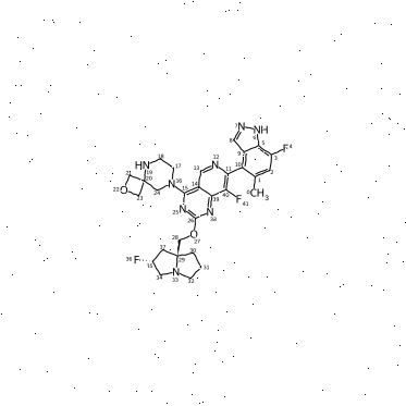 Cc1cc(F)c2[nH]ncc2c1-c1ncc2c(N3CCNC4(COC4)C3)nc(OC[C@@]34CCCN3C[C@H](F)C4)nc2c1F